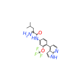 CC(C)C[C@@H](N)C(=O)Nc1ccc(-c2ccnc3[nH]ccc23)c(OC(F)(F)F)c1